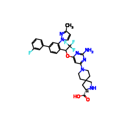 Cc1ccn(-c2cc(-c3cccc(F)c3)ccc2C(Oc2cc(N3CCC4(CC3)CN[C@H](C(=O)O)C4)nc(N)n2)C(F)(F)F)n1